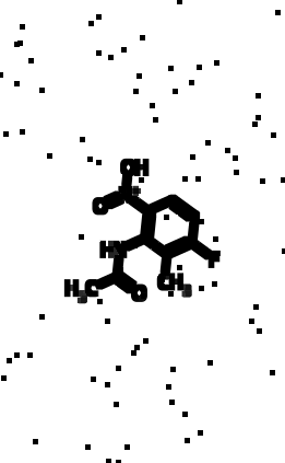 CC(=O)Nc1c([N+](=O)O)ccc(F)c1C